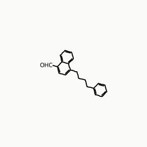 O=Cc1ccc(CCCCc2ccccc2)c2ccccc12